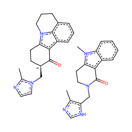 Cc1nc[nH]c1CN1CCc2c(c3ccccc3n2C)C1=O.Cc1nccn1C[C@H]1CCc2c(c3cccc4c3n2CCC4)C1=O